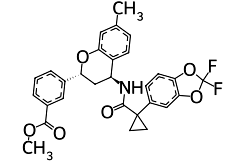 COC(=O)c1cccc([C@H]2C[C@H](NC(=O)C3(c4ccc5c(c4)OC(F)(F)O5)CC3)c3ccc(C)cc3O2)c1